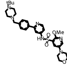 COc1ncc(N2CCOCC2)cc1S(=O)(=O)Nc1ccnc(-c2ccc(CN3CCN(C(C)(C)C)CC3)cc2)c1